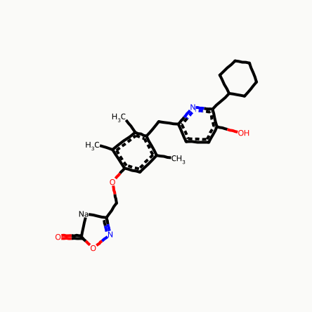 Cc1cc(OC[C]2=NO[C](=O)[Na]2)c(C)c(C)c1Cc1ccc(O)c(C2CCCCC2)n1